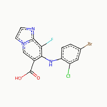 O=C(O)c1cn2ccnc2c(F)c1Nc1ccc(Br)cc1Cl